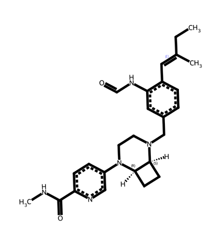 CC/C(C)=C/c1ccc(CN2CCN(c3ccc(C(=O)NC)nc3)[C@@H]3CC[C@@H]32)cc1NC=O